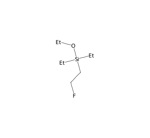 CCO[Si](CC)(CC)CCF